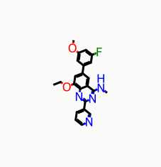 CCOc1cc(-c2cc(F)cc(OC)c2)cc2c(NC)nc(-c3cccnc3)nc12